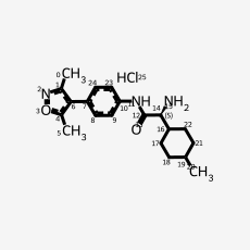 Cc1noc(C)c1-c1ccc(NC(=O)[C@@H](N)C2CCC(C)CC2)cc1.Cl